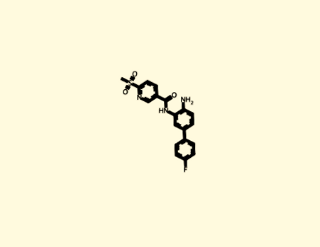 CS(=O)(=O)c1ccc(C(=O)Nc2cc(-c3ccc(F)cc3)ccc2N)cn1